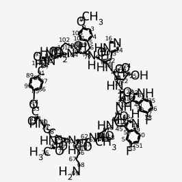 COc1ccc(C[C@@H]2NC(=O)[C@H](Cc3cnc[nH]3)NC(=O)[C@@H](CC(=O)O)NC(=O)[C@H](Cc3c[nH]c4ccc(F)cc34)NC(=O)[C@H](Cc3c[nH]c4ccc(F)cc34)NC(=O)[C@@H](C)NC(=O)[C@H](CCCCN)NC(=O)[C@@H](NC(C)=O)CCNC(=O)COc3ccc(cc3)C[C@@H](C(N)=O)NC(=O)[C@]3(C)CCCN3C2=O)cc1